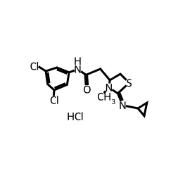 CN1/C(=N/C2CC2)SCC1CC(=O)Nc1cc(Cl)cc(Cl)c1.Cl